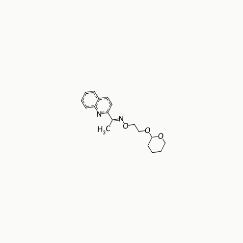 CC(=NOCCOC1CCCCO1)c1ccc2ccccc2n1